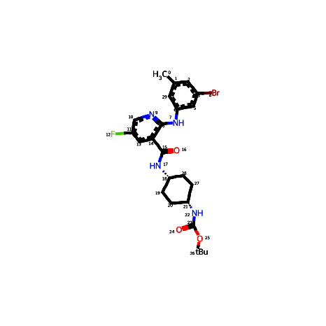 Cc1cc(Br)cc(Nc2ncc(F)cc2C(=O)N[C@H]2CC[C@@H](NC(=O)OC(C)(C)C)CC2)c1